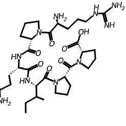 CCC(C)[C@H](NC(=O)[C@H](CCC(N)=O)NC(=O)[C@@H]1CCCN1C(=O)[C@@H](N)CCCNC(=N)N)C(=O)N1CCC[C@H]1C(=O)N1CCC[C@H]1C(=O)O